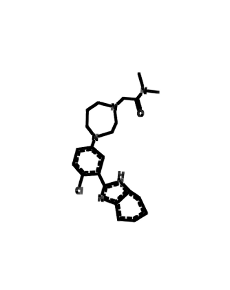 CN(C)C(=O)CN1CCCN(c2ccc(Cl)c(-c3nc4ccccc4[nH]3)c2)CC1